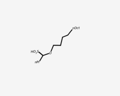 CCCCCCCCCCCCOC(CCC)S(=O)(=O)O